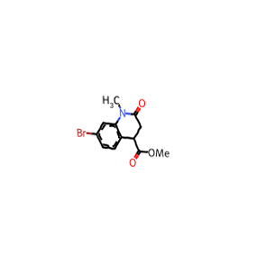 COC(=O)C1CC(=O)N(C)c2cc(Br)ccc21